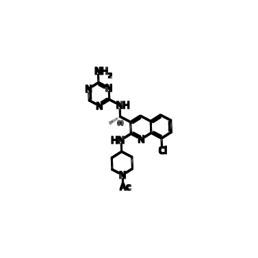 CC(=O)N1CCC(Nc2nc3c(Cl)cccc3cc2[C@H](C)Nc2ncnc(N)n2)CC1